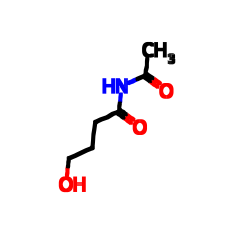 CC(=O)NC(=O)CCCO